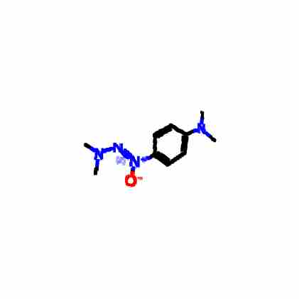 CN(C)/N=[N+](\[O-])c1ccc(N(C)C)cc1